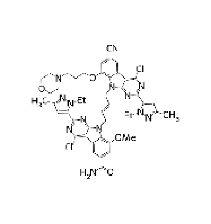 CCn1nc(C)cc1-c1nc(Cl)c2c3cc(C(N)=O)cc(OC)c3n(C/C=C/Cn3c4nc(-c5cc(C)nn5CC)nc(Cl)c4c4cc(C#N)cc(OCCCN5CCOCC5)c43)c2n1